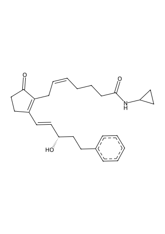 O=C(CCC/C=C\CC1=C(/C=C/[C@@H](O)CCc2ccccc2)CCC1=O)NC1CC1